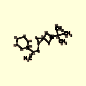 CC(CC1CC12CN(C(C)(C)C)C2)N1CCCCC1